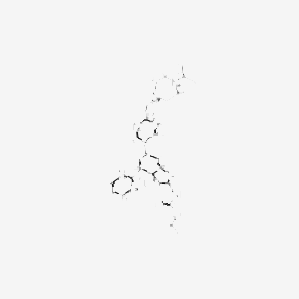 CCOC(=O)Nc1nc2cc(-c3cnc(CN4CCN(C(C)C)CC4)nc3)cc(-c3ncccn3)c2[nH]1